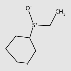 CC[S+]([O-])C1C[CH]CCC1